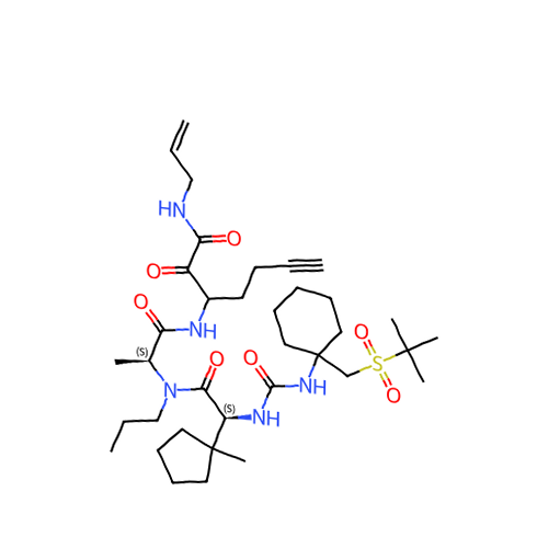 C#CCCC(NC(=O)[C@H](C)N(CCC)C(=O)[C@@H](NC(=O)NC1(CS(=O)(=O)C(C)(C)C)CCCCC1)C1(C)CCCC1)C(=O)C(=O)NCC=C